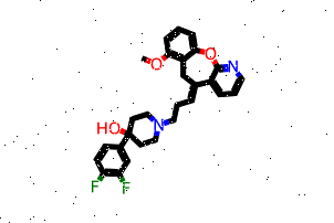 COc1cccc2c1CC(=CCCN1CCC(O)(c3ccc(F)c(F)c3)CC1)c1cccnc1O2